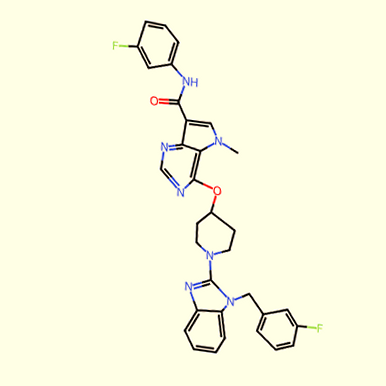 Cn1cc(C(=O)Nc2cccc(F)c2)c2ncnc(OC3CCN(c4nc5ccccc5n4Cc4cccc(F)c4)CC3)c21